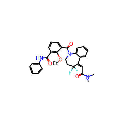 CCOc1c(C(=O)Nc2ccccc2)cccc1C(=O)N1CCC(F)(F)C(=CC(=O)N(C)C)c2ccccc21